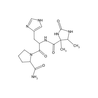 CC1NC(=O)NC1(C)C(=O)NC(Cc1c[nH]cn1)C(=O)N1CCCC1C(N)=O